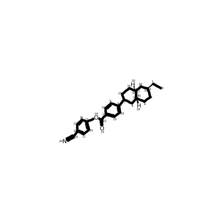 CC[C@H]1CC[C@@H]2CC(c3ccc(C(=O)Oc4ccc(C#N)cc4)cc3)CC[C@H]2C1